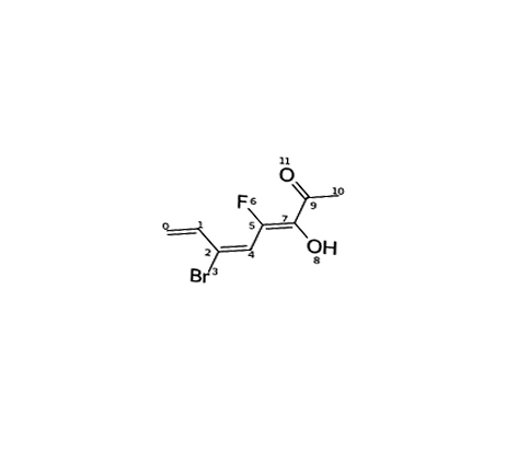 C=C/C(Br)=C\C(F)=C(/O)C(C)=O